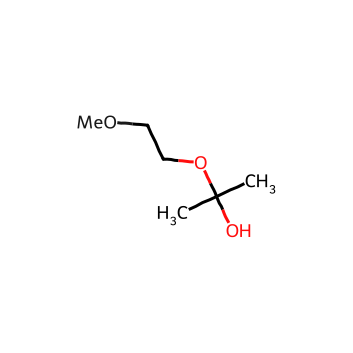 COCCOC(C)(C)O